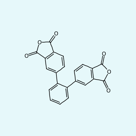 O=C1OC(=O)c2cc(-c3ccccc3-c3ccc4c(c3)C(=O)OC4=O)ccc21